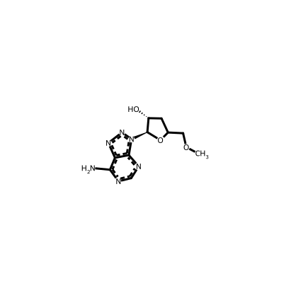 COCC1C[C@@H](O)[C@H](n2nnc3c(N)ncnc32)O1